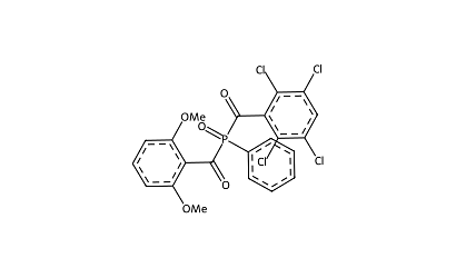 COc1cccc(OC)c1C(=O)P(=O)(C(=O)c1c(Cl)c(Cl)cc(Cl)c1Cl)c1ccccc1